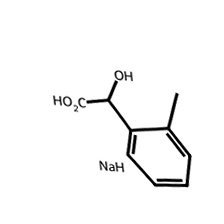 Cc1ccccc1C(O)C(=O)O.[NaH]